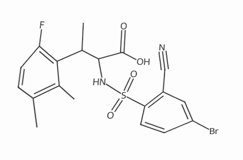 Cc1ccc(F)c(C(C)C(NS(=O)(=O)c2ccc(Br)cc2C#N)C(=O)O)c1C